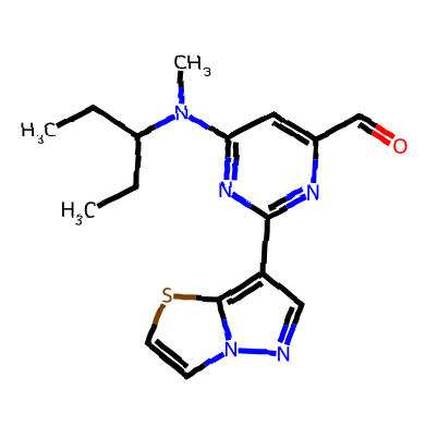 CCC(CC)N(C)c1cc(C=O)nc(-c2cnn3ccsc23)n1